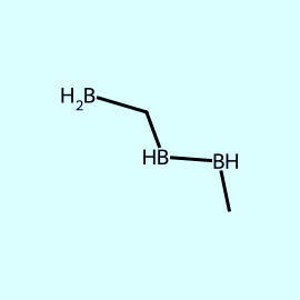 BCBBC